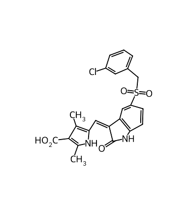 Cc1[nH]c(/C=C2\C(=O)Nc3ccc(S(=O)(=O)Cc4cccc(Cl)c4)cc32)c(C)c1C(=O)O